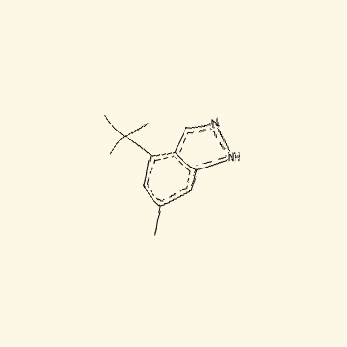 Cc1cc(C(C)(C)C)c2cn[nH]c2c1